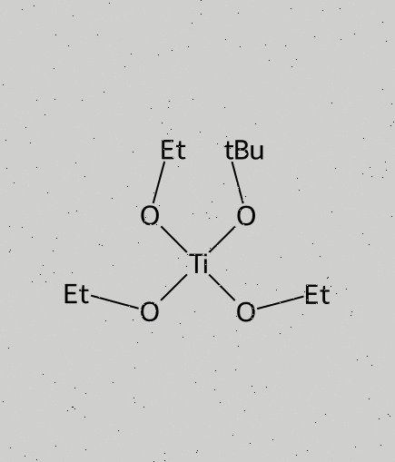 CC[O][Ti]([O]CC)([O]CC)[O]C(C)(C)C